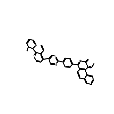 C=Cc1c(-c2cnc(-c3ccc(-c4nc(=C)/c(=C\C)c5c4ccc4ccccc45)cc3)nc2)ccnc1C1N=CC=CC1C